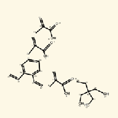 C=C(C)C(=O)O.C=C(C)C(=O)O.C=C(C)C(=O)O.C=Cc1ccccc1C=C.CCC(CO)(CO)CO